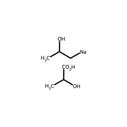 CC(O)C(=O)O.CC(O)[CH2][Na]